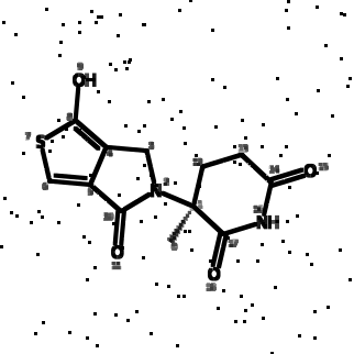 C[C@]1(N2Cc3c(csc3O)C2=O)CCC(=O)NC1=O